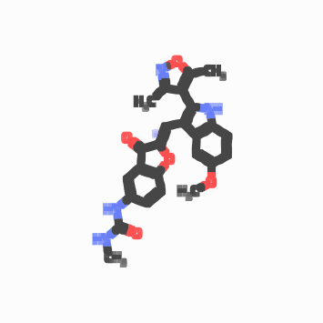 CNC(=O)Nc1ccc2c(c1)C(=O)/C(=C/c1c(-c3c(C)noc3C)[nH]c3ccc(OC)cc13)O2